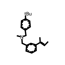 C/C=C(\C)c1cccc(CN(C)Cc2ccc(C(C)(C)C)cc2)c1